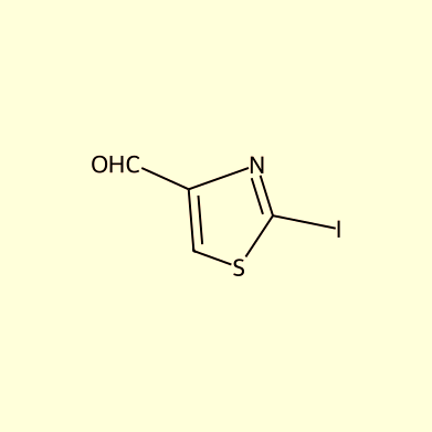 O=Cc1csc(I)n1